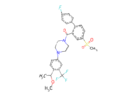 COC(C)c1ccc(N2CCN(C(=O)c3cc(S(C)(=O)=O)ccc3-c3ccc(F)cc3)CC2)cc1C(F)(F)F